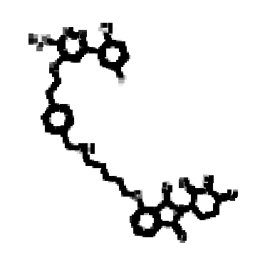 Nc1nnc(-c2cc(F)ccc2O)cc1OCCc1ccc(CNCCCCCOc2cccc3c2C(=O)N(C2CCC(=O)NC2=O)C3=O)cc1